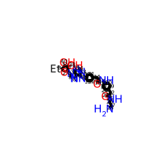 CC[C@H]1O[C@@H](n2cnc3c(Nc4ccc(CC(=O)Nc5ccc(CC(=O)NCCN)cc5)cc4)ncnc32)[C@H](O)[C@@H]1O